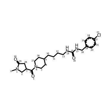 CN1CC(C(=O)N2CCC(CCCCNC(=O)NCc3ccc(Cl)cc3)CC2)CC1=O